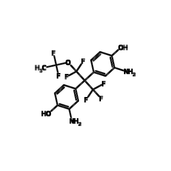 CC(F)(F)OC(F)(F)C(c1ccc(O)c(N)c1)(c1ccc(O)c(N)c1)C(F)(F)F